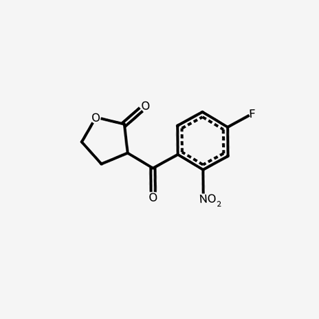 O=C1OCCC1C(=O)c1ccc(F)cc1[N+](=O)[O-]